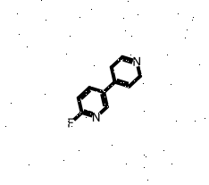 Fc1ccc(C2=CCN=CC2)cn1